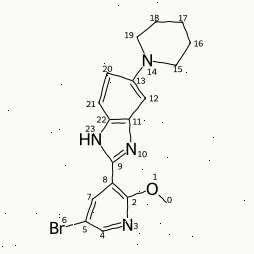 COc1ncc(Br)cc1-c1nc2cc(N3CCCCC3)ccc2[nH]1